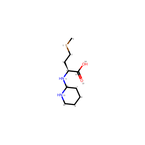 CSCC[C@H](NC1CCCCN1)C(=O)O